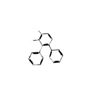 CCc1ccc(-c2ccccc2)c(-c2ccccc2)c1F